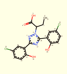 CCC(C(=O)O)n1nc(-c2cc(Cl)ccc2O)nc1-c1cc(Cl)ccc1O